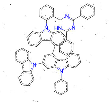 c1ccc(C2=NC(c3ccccc3-n3c4ccccc4c4c(-c5cc(-n6c7ccccc7c7ccccc76)cc6c5c5ccccc5n6-c5ccccc5)cccc43)NC(c3ccccc3)=N2)cc1